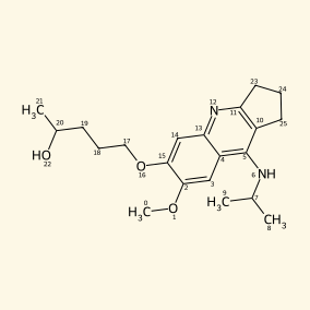 COc1cc2c(NC(C)C)c3c(nc2cc1OCCCC(C)O)CCC3